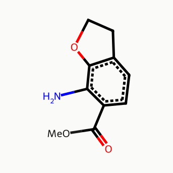 COC(=O)c1ccc2c(c1N)OCC2